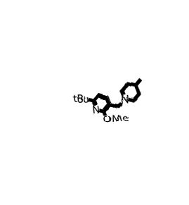 COc1nc(C(C)(C)C)ccc1CN1CCC(C)CC1